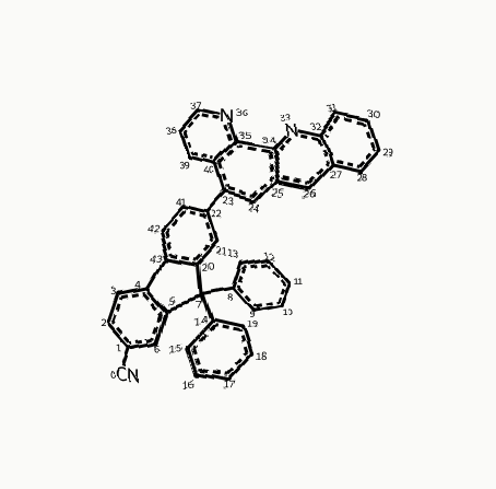 N#Cc1ccc2c(c1)C(c1ccccc1)(c1ccccc1)c1cc(-c3cc4cc5ccccc5nc4c4ncccc34)ccc1-2